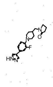 O=C1CCCN1CC1CCN(c2ccc(-c3cn[nH]c3)cc2F)CC1